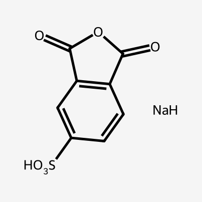 O=C1OC(=O)c2cc(S(=O)(=O)O)ccc21.[NaH]